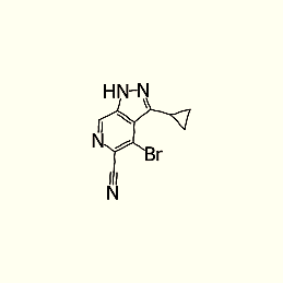 N#Cc1ncc2[nH]nc(C3CC3)c2c1Br